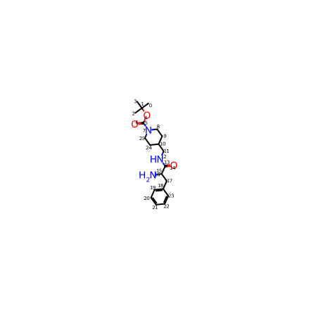 CC(C)(C)OC(=O)N1CCC(CNC(=O)C(N)Cc2ccccc2)CC1